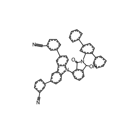 N#Cc1cccc(-c2ccc3c(c2)c2cc(-c4cccc(C#N)c4)ccc2n3-c2cccc3c2C(=O)N(c2cc(-c4ccccc4)ccc2-c2ccccc2)C3O)c1